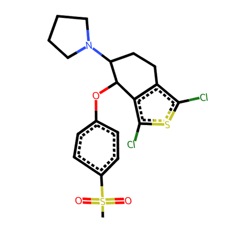 CS(=O)(=O)c1ccc(OC2c3c(Cl)sc(Cl)c3CCC2N2CCCC2)cc1